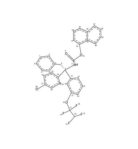 O=C(N[C@@](Cc1ccccc1)(c1cccc(OC(F)(F)C(F)F)c1)c1ccc(Cl)cn1)Oc1cccc2ccccc12